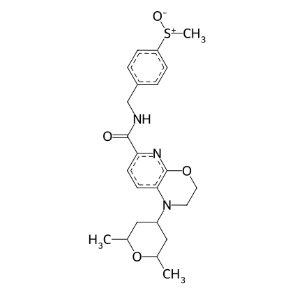 CC1CC(N2CCOc3nc(C(=O)NCc4ccc([S+](C)[O-])cc4)ccc32)CC(C)O1